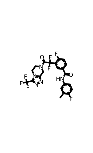 Cc1cc(NC(=O)c2ccc(F)c(C(F)(F)C(=O)N3CCn4c(nnc4C(F)(F)F)C3)c2)ccc1F